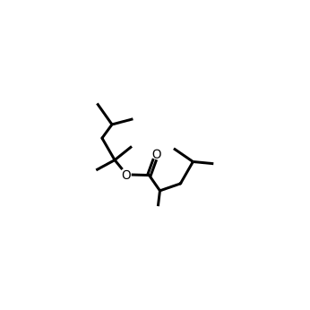 CC(C)CC(C)C(=O)OC(C)(C)CC(C)C